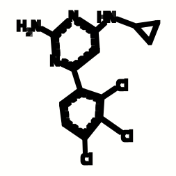 Nc1nc(NC2CC2)cc(-c2ccc(Cl)c(Cl)c2Cl)n1